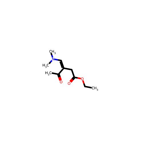 CCOC(=O)CC(=CN(C)C)C(C)=O